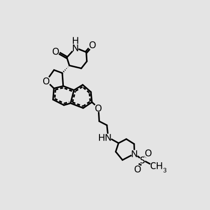 CS(=O)(=O)N1CCC(NCCOc2ccc3c4c(ccc3c2)OCC4[C@H]2CCC(=O)NC2=O)CC1